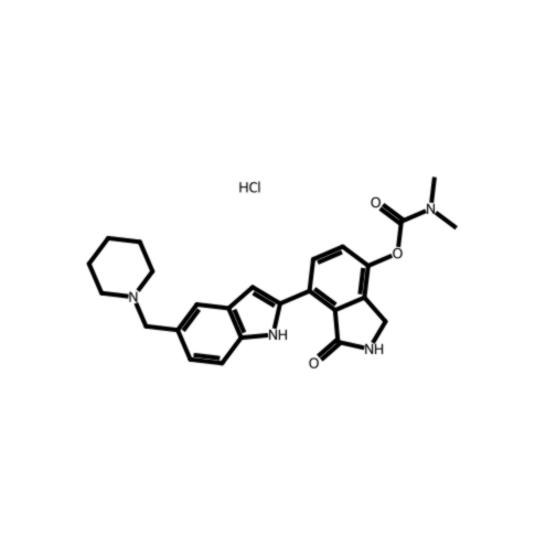 CN(C)C(=O)Oc1ccc(-c2cc3cc(CN4CCCCC4)ccc3[nH]2)c2c1CNC2=O.Cl